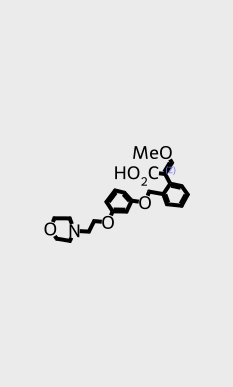 CO/C=C(\C(=O)O)c1ccccc1COc1cccc(OCCN2CCOCC2)c1